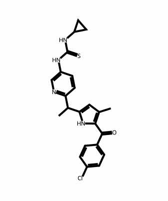 Cc1cc(C(C)c2ccc(NC(=S)NC3CC3)cn2)[nH]c1C(=O)c1ccc(Cl)cc1